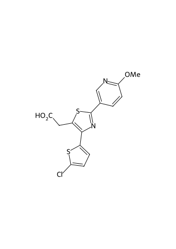 COc1ccc(-c2nc(-c3ccc(Cl)s3)c(CC(=O)O)s2)cn1